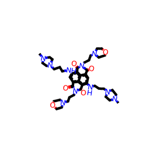 CN1CCN(CCCNc2cc3c4c(c(NCCCN5CCN(C)CC5)cc5c4c2C(=O)N(CCCN2CCOCC2)C5=O)C(=O)N(CCCN2CCOCC2)C3=O)CC1